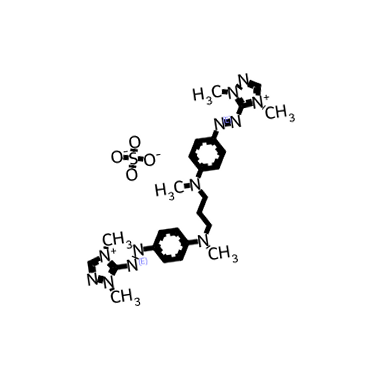 CN(CCCN(C)c1ccc(/N=N/c2n(C)nc[n+]2C)cc1)c1ccc(/N=N/c2n(C)nc[n+]2C)cc1.O=S(=O)([O-])[O-]